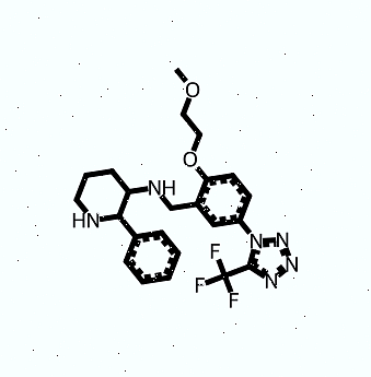 COCCOc1ccc(-n2nnnc2C(F)(F)F)cc1CNC1CCCNC1c1ccccc1